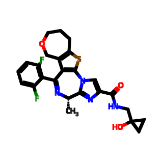 C[C@@H]1N=C(c2c(F)cccc2F)c2c(sc3c2COCCC3)-n2cc(C(=O)NCC3(O)CC3)nc21